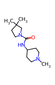 CN1CCC(NC(=O)N2CCC(C)(C)C2)CC1